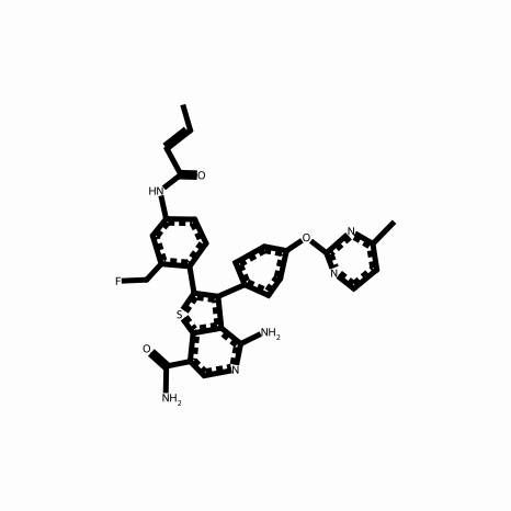 CC=CC(=O)Nc1ccc(-c2sc3c(C(N)=O)cnc(N)c3c2-c2ccc(Oc3nccc(C)n3)cc2)c(CF)c1